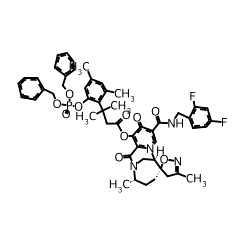 CC1=NO[C@@]2(CC[C@H](C)N3C[C@H]2n2cc(C(=O)NCc4ccc(F)cc4F)c(=O)c(OC(=O)CC(C)(C)c4c(C)cc(C)cc4OP(=O)(OCc4ccccc4)OCc4ccccc4)c2C3=O)C1